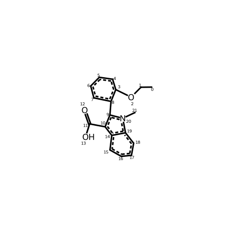 CCOc1ccccc1-c1c(C(=O)O)c2ccccc2n1C